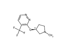 CN1CC[C@H](Oc2nnccc2C(F)(F)F)C1